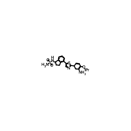 CC(C)OC1=C(N)CC(c2ncc(-c3cccc4c3CC[C@@H]4NS(N)(=O)=O)s2)C=C1